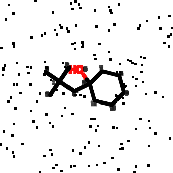 CC(C)(C)[CH]C1(O)CCCCC1